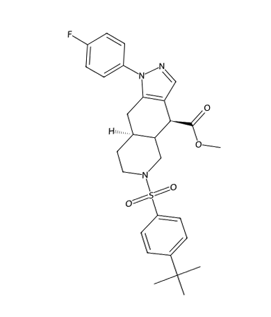 COC(=O)[C@@H]1c2cnn(-c3ccc(F)cc3)c2C[C@@H]2CCN(S(=O)(=O)c3ccc(C(C)(C)C)cc3)CC21